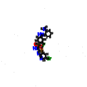 CN(C)[C@H]1CCCC[C@@H]1Nc1ccc(S(=O)(=O)Nc2nc3ncc(Br)cc3s2)c(F)c1